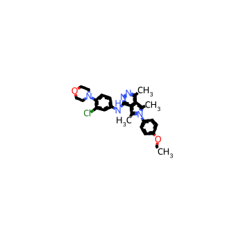 CCOc1ccc(-n2c(C)c3c(C)nnc(Nc4ccc(N5CCOCC5)c(Cl)c4)c3c2C)cc1